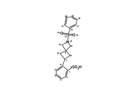 O=S(=O)(O)c1ccccc1C1CC2(C1)CN(S(=O)(=O)c1ccccc1)C2